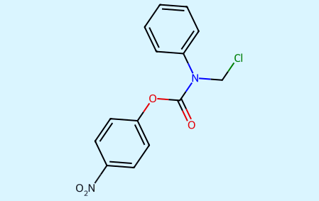 O=C(Oc1ccc([N+](=O)[O-])cc1)N(CCl)c1ccccc1